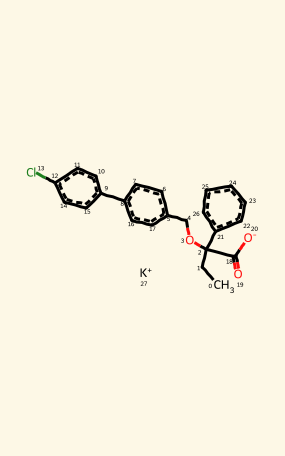 CCC(OCc1ccc(-c2ccc(Cl)cc2)cc1)(C(=O)[O-])c1ccccc1.[K+]